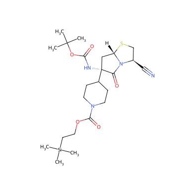 CC(C)(C)OC(=O)N[C@]1(C2CCN(C(=O)OCC[Si](C)(C)C)CC2)C[C@@H]2SC[C@@H](C#N)N2C1=O